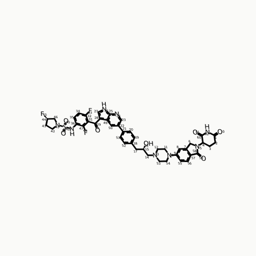 O=C1CCC(N2Cc3cc(N4CCN(C[C@H](O)Cc5ccc(-c6cnc7[nH]cc(C(=O)c8c(F)ccc(NS(=O)(=O)N9CC[C@@H](F)C9)c8F)c7c6)cc5)CC4)ccc3C2=O)C(=O)N1